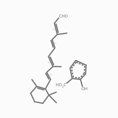 CC1=C(/C=C/C(C)=C/C=C/C(C)=C/C=O)C(C)(C)CCC1.O=C(O)c1ccccc1O